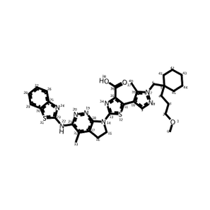 COCCCC1(Cn2ncc(-c3sc(N4CCc5c4nnc(Nc4nc6ccccc6s4)c5C)nc3C(=O)O)c2C)CCCCC1